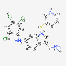 CNCc1cn(Sc2cccnc2)c2cc(Nc3cc(Cl)c(Cl)cc3Cl)ccc12